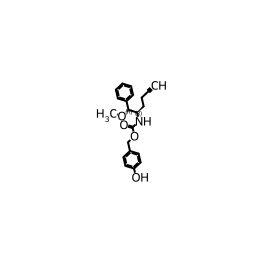 C#CCC[C@@H](NC(=O)OCc1ccc(O)cc1)[C@H](OC)c1ccccc1